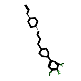 C=CC[C@H]1CC[C@H](CCCCC2CCC(c3cc(F)c(F)c(F)c3)CC2)CC1